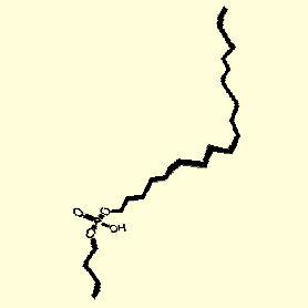 CCCCCCCC/C=C\CCCCCCCCOP(=O)(O)OCCCC